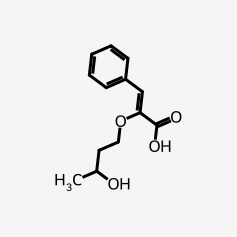 CC(O)CCOC(=Cc1ccccc1)C(=O)O